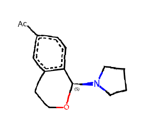 CC(=O)c1ccc2c(c1)CCO[C@@H]2N1CCCC1